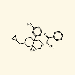 CC(=O)OC12CC[C@@H](N(C)C(=O)c3ccccc3)CC1(c1cccc(O)c1)CCN(CC1CC1)C2